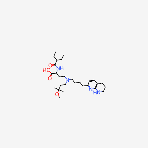 CCC(CC)C(=O)NC(CCN(CCCCc1ccc2c(n1)NCCC2)CCC(C)(C)OC)C(=O)O